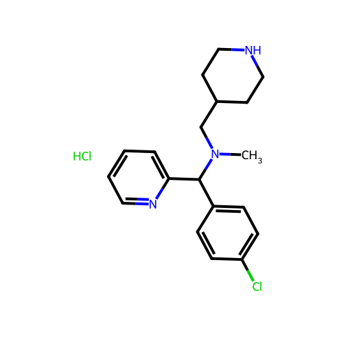 CN(CC1CCNCC1)C(c1ccc(Cl)cc1)c1ccccn1.Cl